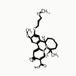 COCCCOc1cc2c(cc1OC)-c1cc(=O)c(C(=O)O)cn1N1[C@H]2CCCCC1(C)C